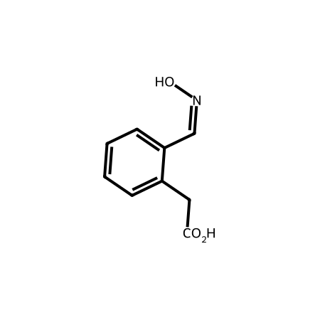 O=C(O)Cc1ccccc1/C=N\O